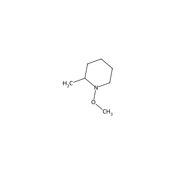 [CH2]C1CCCCN1OC